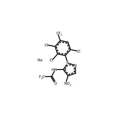 O=C(Nc1c([N+](=O)[O-])cnn1-c1c(Cl)cc(C(F)(F)F)c(Cl)c1Cl)C(F)(F)F.[Na]